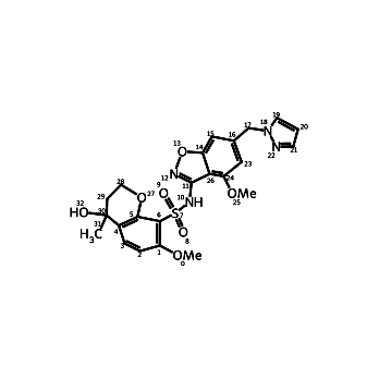 COc1ccc2c(c1S(=O)(=O)Nc1noc3cc(Cn4cccn4)cc(OC)c13)OCCC2(C)O